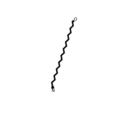 N#CCCCCCCCCCCCCCCCCCCC=O